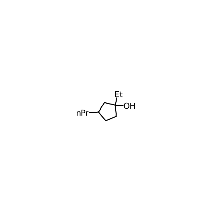 CCCC1CCC(O)(CC)C1